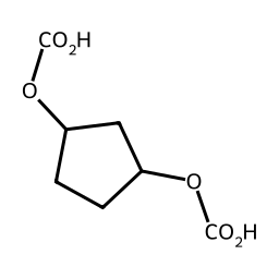 O=C(O)OC1CCC(OC(=O)O)C1